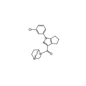 O=C(c1nn(-c2cccc(Cl)c2)c2c1CCC2)N1CCN2CCC1CC2